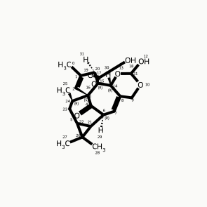 CC1=C[C@]23C(=O)[C@@H](C=C4COC(O)O[C@H]4[C@@]24OC(O)O[C@@H]14)C1C(C[C@H]3C)C1(C)C